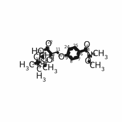 CON(C)C(=O)c1ccc(OC[C@@H](O[Si](C)(C)C(C)(C)C)C(=O)O)cc1